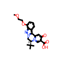 COCCOc1cccc2c3n(nc12)C[C@H](C(C)(C)C)n1cc(C(=O)O)c(=O)cc1-3